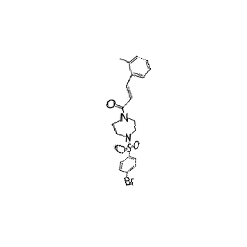 Cc1ccccc1C=CC(=O)N1CCN(S(=O)(=O)c2ccc(Br)cc2)CC1